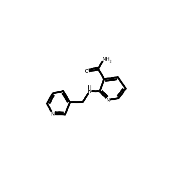 NC(=O)c1cccnc1NCc1cccnc1